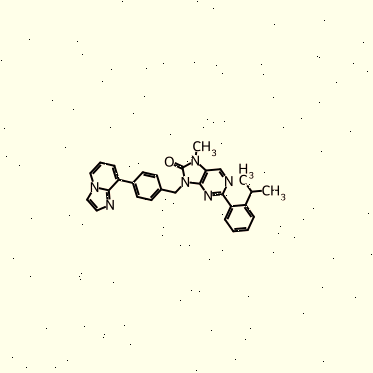 CC(C)c1ccccc1-c1ncc2c(n1)n(Cc1ccc(-c3cccn4ccnc34)cc1)c(=O)n2C